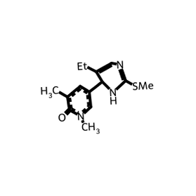 CCC1=CN=C(SC)NC1c1cc(C)c(=O)n(C)c1